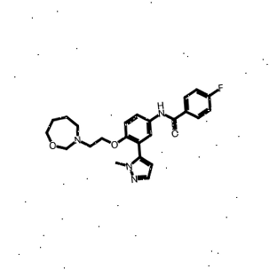 Cn1nccc1-c1cc(NC(=O)c2ccc(F)cc2)ccc1OCCN1CCCCOC1